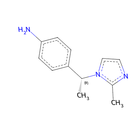 Cc1nccn1[C@H](C)c1ccc(N)cc1